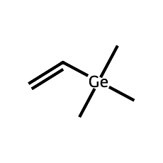 C=[CH][Ge]([CH3])([CH3])[CH3]